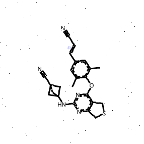 Cc1cc(/C=C/C#N)cc(C)c1Oc1nc(NC23CC(C#N)(C2)C3)nc2c1CSC2